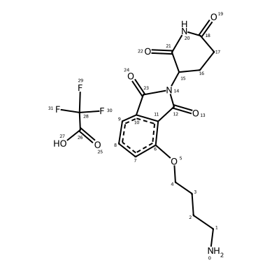 NCCCCOc1cccc2c1C(=O)N(C1CCC(=O)NC1=O)C2=O.O=C(O)C(F)(F)F